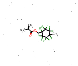 C=C(C)C(=O)OCC1(F)C(F)(F)C(F)(F)C(C)(F)C(F)(F)C1(F)F